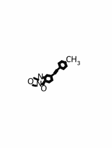 Cc1ccc(C#Cc2ccc3c(=O)n4c(nc3c2)COCC4)cc1